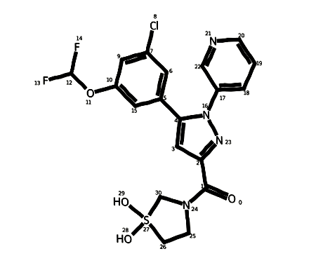 O=C(c1cc(-c2cc(Cl)cc(OC(F)F)c2)n(-c2cccnc2)n1)N1CCS(O)(O)C1